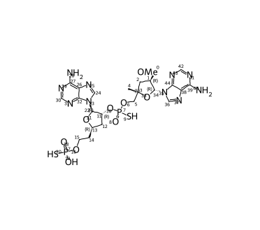 CO[C@@H]1C[C@@](C)(COP(=O)(S)O[C@@H]2C[C@@H](CCOP(=O)(O)S)O[C@H]2n2cnc3c(N)ncnc32)O[C@H]1n1cnc2c(N)ncnc21